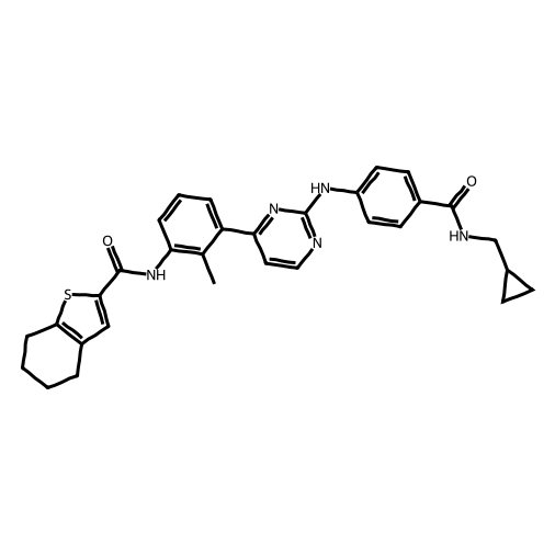 Cc1c(NC(=O)c2cc3c(s2)CCCC3)cccc1-c1ccnc(Nc2ccc(C(=O)NCC3CC3)cc2)n1